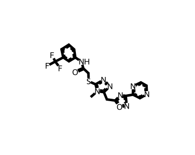 Cn1c(Cc2nc(-c3cnccn3)no2)nnc1SCC(=O)Nc1cccc(C(F)(F)F)c1